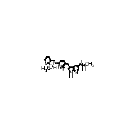 CNC(=O)c1cnc2[nH]cc(Cc3ccc(NCc4cccnc4OC)nc3F)c2c1